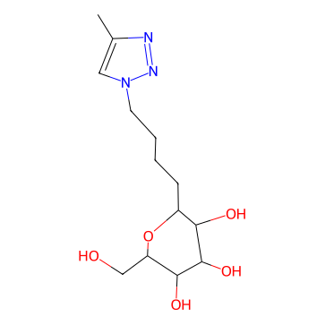 Cc1cn(CCCCC2OC(CO)C(O)C(O)C2O)nn1